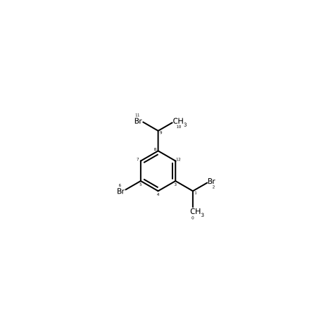 CC(Br)c1cc(Br)cc(C(C)Br)c1